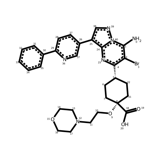 Nc1c(Br)c([C@H]2CC[C@](OCCN3CCOCC3)(C(=O)O)CC2)nc2c(-c3ccc(-c4ccccc4)nc3)cnn12